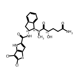 CN(C(=O)[C@@H](O)CCC(N)=O)[C@@H]1c2ccccc2C[C@H]1NC(=O)c1cc2sc(Cl)c(Cl)c2[nH]1